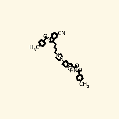 Cc1ccc(C(=O)NC(=O)c2cc3cc(N4CCN(CCCCc5cn(C(=O)c6ccc(C)cc6)c6ccc(C#N)cc56)CC4)ccc3o2)cc1